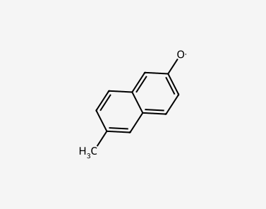 Cc1ccc2cc([O])ccc2c1